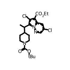 CCOC(=O)c1c(Cl)c(C(C)C2CCN(C(=O)OC(C)(C)C)CC2)n2ncc(Cl)cc12